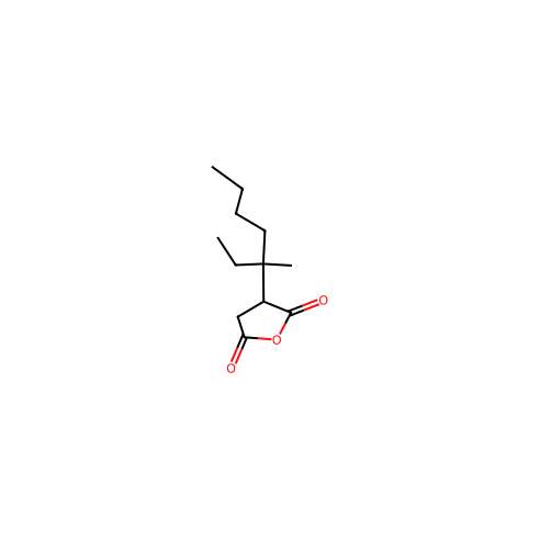 CCCCC(C)(CC)C1CC(=O)OC1=O